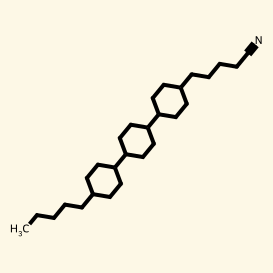 CCCCCC1CCC(C2CCC(C3CCC(CCCCC#N)CC3)CC2)CC1